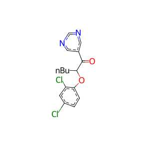 CCCCC(Oc1ccc(Cl)cc1Cl)C(=O)c1cncnc1